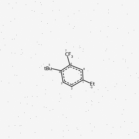 CCc1ccc(C(C)(C)C)c(C(F)(F)F)c1